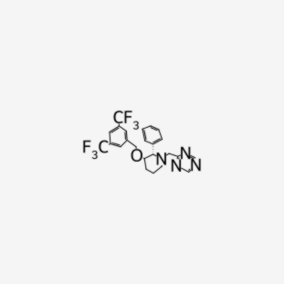 FC(F)(F)c1cc(CO[C@H]2CCCN(Cc3ncncn3)[C@H]2c2ccccc2)cc(C(F)(F)F)c1